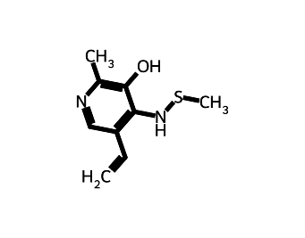 C=Cc1cnc(C)c(O)c1NSC